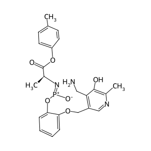 Cc1ccc(OC(=O)[C@H](C)N=[P+]([O-])Oc2ccccc2OCc2cnc(C)c(O)c2CN)cc1